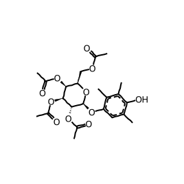 CC(=O)OC[C@H]1O[C@@H](Oc2cc(C)c(O)c(C)c2C)[C@H](OC(C)=O)[C@@H](OC(C)=O)[C@H]1OC(C)=O